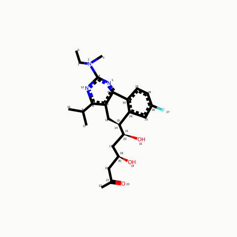 CCN(C)c1nc2c(c(C(C)C)n1)C[C@H]([C@@H](O)C[C@@H](O)CC(C)=O)c1cc(F)ccc1-2